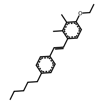 CCCCCc1ccc(C=Cc2ccc(OCC)c(C)c2C)cc1